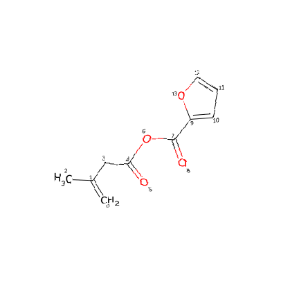 C=C(C)CC(=O)OC(=O)c1ccco1